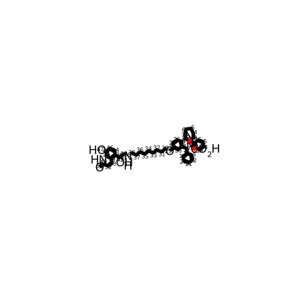 O=C(O)N(C1CC2CCC(C1)N2Cc1ccccc1)C(c1ccccc1)c1cccc(OCCCCCCCCCNC[C@H](O)c2ccc(O)c3[nH]c(=O)ccc23)c1